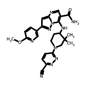 COc1ccc(-c2cc3ncc(C(N)=O)c(NC4CCN(c5ccc(C#N)nn5)CC4(C)C)n3n2)cn1